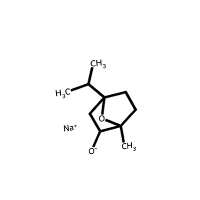 CC(C)C12CCC(C)(O1)C([O-])C2.[Na+]